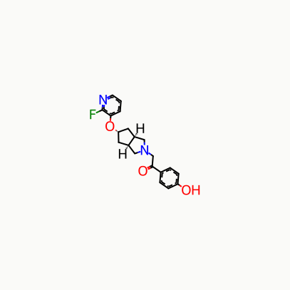 O=C(CN1C[C@H]2C[C@H](Oc3cccnc3F)C[C@H]2C1)c1ccc(O)cc1